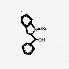 CC(C)(C)N1c2ccccc2CC1C(O)c1ccccc1